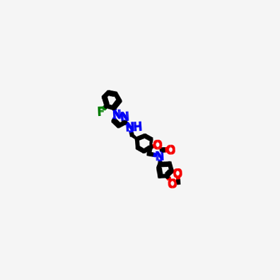 O=C1O[C@]2(CC[C@H](CNc3ccn(-c4ccccc4F)n3)CC2)CN1c1ccc2c(c1)OCO2